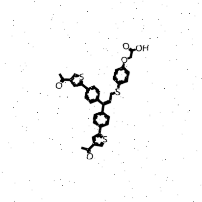 CC(=O)c1csc(-c2ccc(C(=CCSc3ccc(OCC(=O)O)cc3)c3ccc(-c4cc(C(C)=O)cs4)cc3)cc2)c1